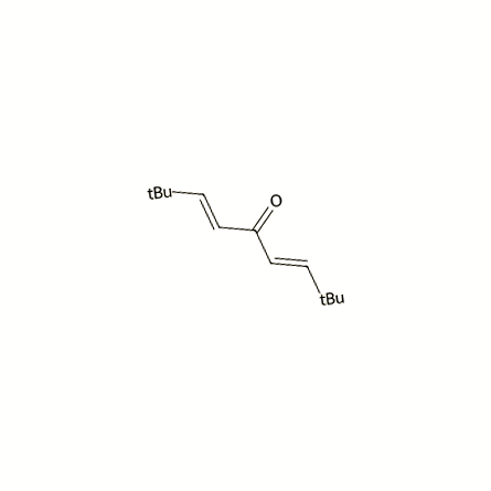 CC(C)(C)C=CC(=O)C=CC(C)(C)C